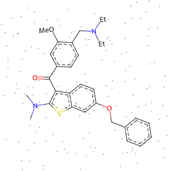 CCN(CC)Cc1ccc(C(=O)c2c(N(C)C)sc3cc(OCc4ccccc4)ccc23)cc1OC